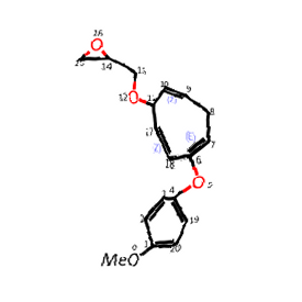 COc1ccc(OC2=C/C/C=C\C(OCC3CO3)/C=C\2)cc1